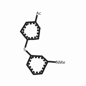 CNc1cccc(Sc2ccc(C(C)=O)cc2)c1